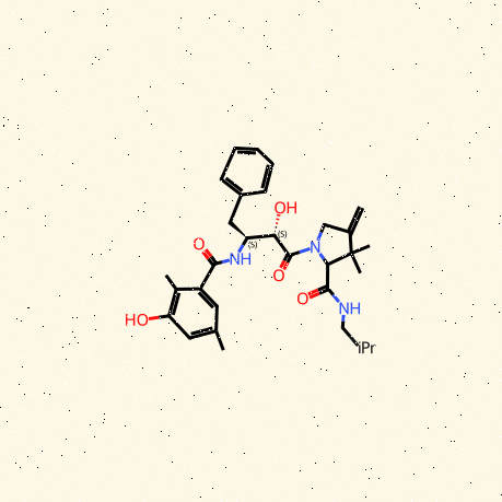 C=C1CN(C(=O)[C@@H](O)[C@H](Cc2ccccc2)NC(=O)c2cc(C)cc(O)c2C)C(C(=O)NCC(C)C)C1(C)C